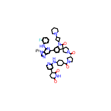 CC(C)n1cnc2cc(-c3ccc4c(c3)N(C3CC(N5CCCCC5)C3)C(=O)C43CCN(C(=O)[C@@H]4CCN(C(=O)C5CCC(Nc6cc(C7CCC(=O)NC7=O)ccn6)CC5)C4)CC3)nc(Nc3ccccc3F)c21